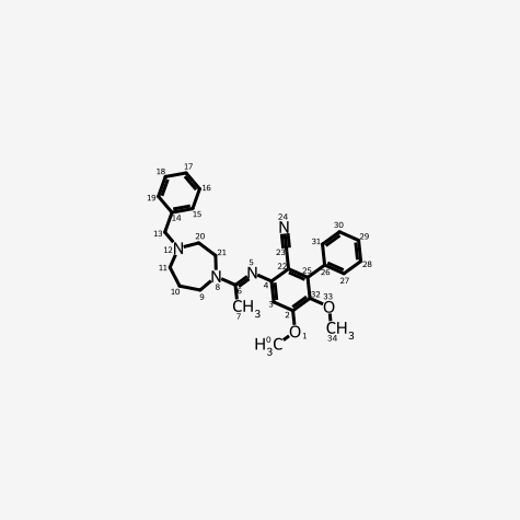 COc1cc(N=C(C)N2CCCN(Cc3ccccc3)CC2)c(C#N)c(-c2ccccc2)c1OC